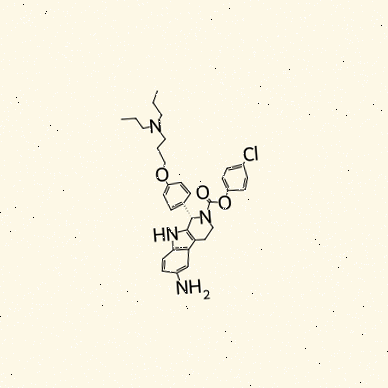 CCCN(CCC)CCCOc1ccc([C@H]2c3[nH]c4ccc(N)cc4c3CCN2C(=O)Oc2ccc(Cl)cc2)cc1